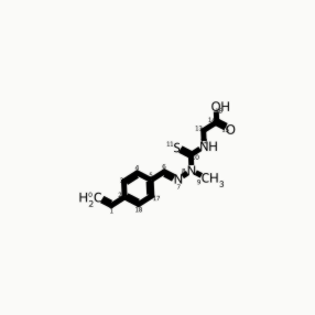 C=Cc1ccc(C=NN(C)C(=S)NCC(=O)O)cc1